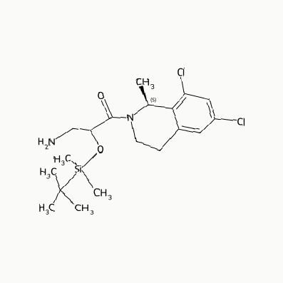 C[C@H]1c2c(Cl)cc(Cl)cc2CCN1C(=O)C(CN)O[Si](C)(C)C(C)(C)C